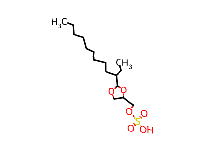 CCCCCCCCCC(CC)C1OCC(COS(=O)(=O)O)O1